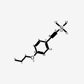 CCCOc1ccc(C#C[Si](C)(C)C)cc1